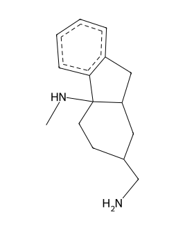 CNC12CCC(CN)CC1Cc1ccccc12